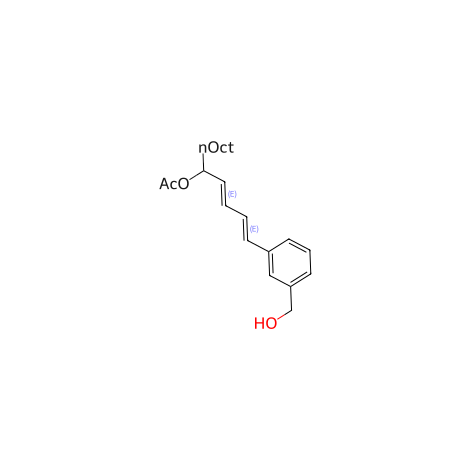 CCCCCCCCC(/C=C/C=C/c1cccc(CO)c1)OC(C)=O